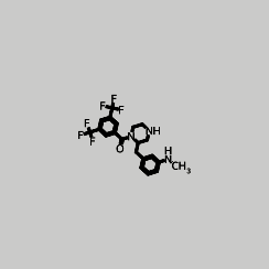 CNc1cccc(CC2CNCCN2C(=O)c2cc(C(F)(F)F)cc(C(F)(F)F)c2)c1